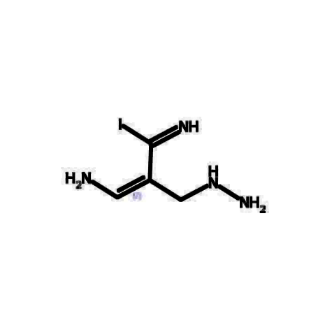 N=C(I)/C(=C\N)CNN